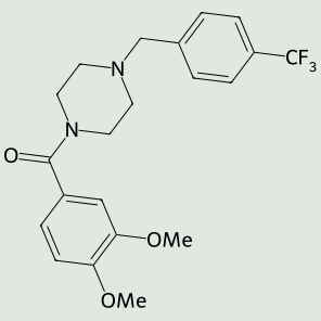 COc1ccc(C(=O)N2CCN(Cc3ccc(C(F)(F)F)cc3)CC2)cc1OC